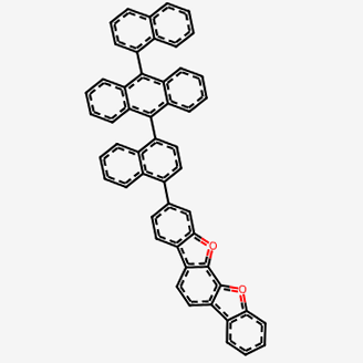 c1ccc2c(-c3c4ccccc4c(-c4ccc(-c5ccc6c(c5)oc5c6ccc6c7ccccc7oc65)c5ccccc45)c4ccccc34)cccc2c1